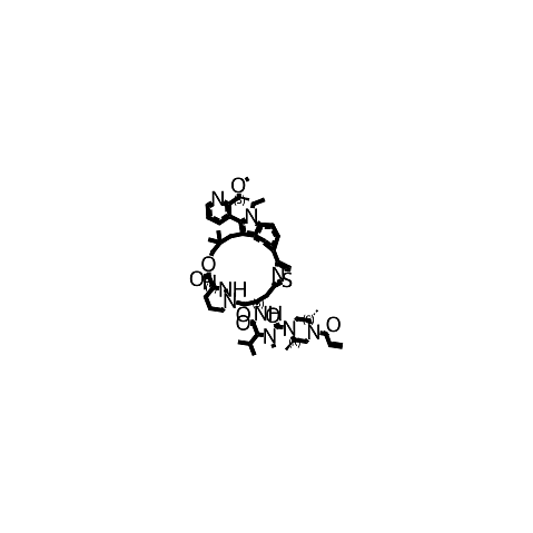 C=CC(=O)N1C[C@@H](C)N(C(=O)N(C)C(C(=O)N[C@H]2Cc3nc(cs3)-c3ccc4c(c3)c(c(-c3cccnc3[C@H](C)OC)n4CC)CC(C)(C)COC(=O)[C@@H]3CCCN(N3)C2=O)C(C)C)C[C@@H]1C